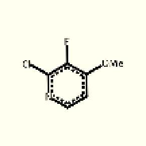 COc1ccnc(Cl)c1F